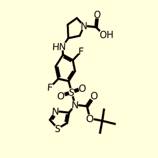 CC(C)(C)OC(=O)N(c1cscn1)S(=O)(=O)c1cc(F)c(NC2CCN(C(=O)O)C2)cc1F